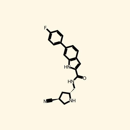 N#C[C@@H]1CN[C@@H](CNC(=O)c2cc3ccc(-c4ccc(F)cc4)cc3[nH]2)C1